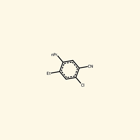 CCCc1cc(C#N)c(Cl)cc1CC